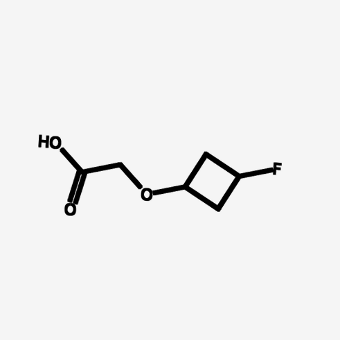 O=C(O)COC1CC(F)C1